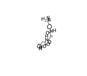 NN=Cc1ccc(NC(=O)C2CC2C(=O)NC(Cc2cccnc2)C(=O)O)cc1